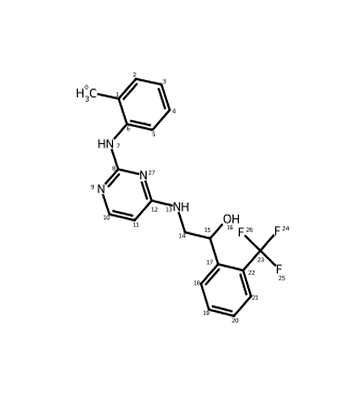 Cc1ccccc1Nc1nccc(NCC(O)c2ccccc2C(F)(F)F)n1